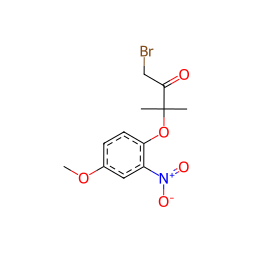 COc1ccc(OC(C)(C)C(=O)CBr)c([N+](=O)[O-])c1